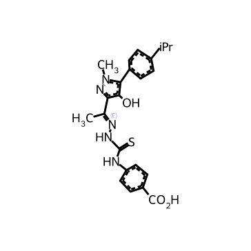 C/C(=N\NC(=S)Nc1ccc(C(=O)O)cc1)c1nn(C)c(-c2ccc(C(C)C)cc2)c1O